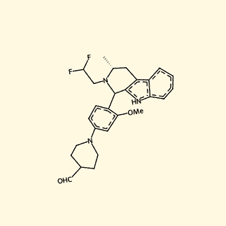 COc1cc(N2CCC(C=O)CC2)ccc1C1c2[nH]c3ccccc3c2C[C@@H](C)N1CC(F)F